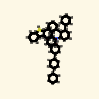 c1ccc(-c2ccc(-c3ccc(N(c4ccc5sc6ccccc6c5c4)c4cccc(-c5ccccc5)c4-c4ccccc4-c4ccccc4)cc3)cc2)cc1